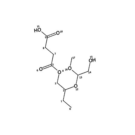 CCC(COC(=O)CCC(=O)O)OC(CO)OC